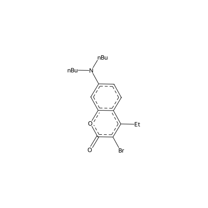 CCCCN(CCCC)c1ccc2c(CC)c(Br)c(=O)oc2c1